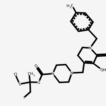 Cc1ccc(CN2CCC(CN3CCN(C(=O)OC(C)(CI)SCl)CC3)=C(O)C2=O)cc1